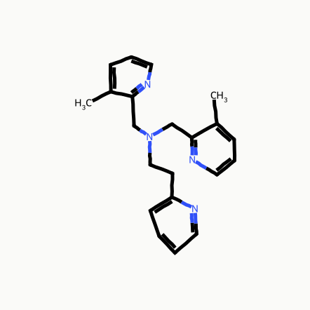 Cc1cccnc1CN(CCc1ccccn1)Cc1ncccc1C